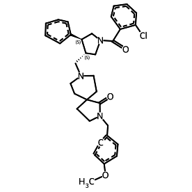 COc1ccc(CN2CCC3(CCN(C[C@H]4CN(C(=O)c5ccccc5Cl)C[C@@H]4c4ccccc4)CC3)C2=O)cc1